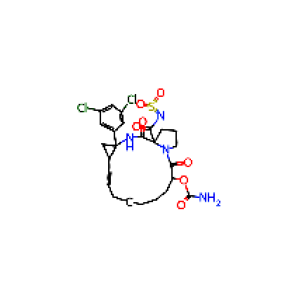 NC(=O)OC1CCCCCC=CC2CC2(c2cc(Cl)cc(Cl)c2)NC(=O)C2(C(=O)N=S(=O)=O)CCCN2C1=O